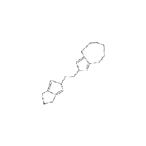 C1=C2CCCCCCC2=CC1CCC1C=C2CCCC2=C1